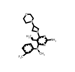 C=Cc1c(N2CC(N3CCOCC3)C2)nc(N)nc1N(C)c1cccc(C(F)(F)F)c1